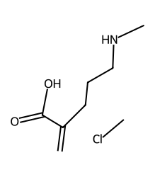 C=C(CCCNC)C(=O)O.CCl